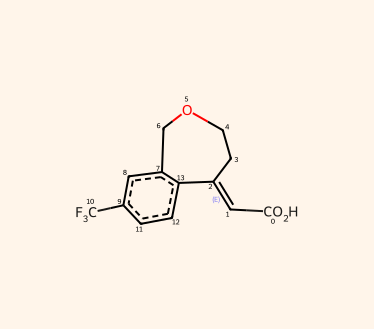 O=C(O)/C=C1\CCOCc2cc(C(F)(F)F)ccc21